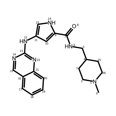 CN1CCC(CNC(=O)c2cc(Nc3ncc4ccccc4n3)c[nH]2)CC1